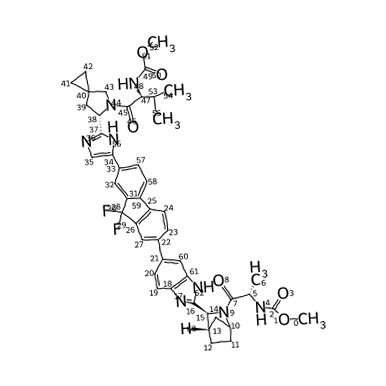 COC(=O)N[C@@H](C)C(=O)N1C2CC[C@@H](C2)[C@H]1c1nc2ccc(-c3ccc4c(c3)C(F)(F)c3cc(-c5cnc([C@@H]6CC7(CC7)CN6C(=O)[C@@H](NC(=O)OC)C(C)C)[nH]5)ccc3-4)cc2[nH]1